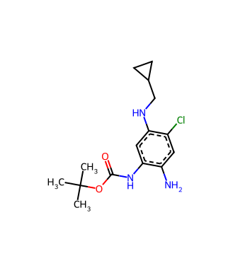 CC(C)(C)OC(=O)Nc1cc(NCC2CC2)c(Cl)cc1N